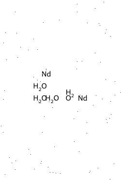 O.O.O.O.[Nd].[Nd]